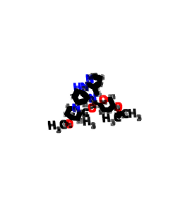 CO[C@@H]1CCN(c2ccc3c(c2)N(C(=O)[C@H]2CC[C@H](OC(C)C)CO2)Cc2cccnc2N3)[C@H](C)C1